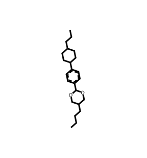 CCCCC1COC(c2ccc(C3CCC(CCC)CC3)cc2)OC1